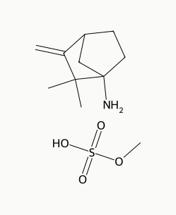 C=C1C2CCC(N)(C2)C1(C)C.COS(=O)(=O)O